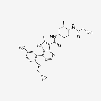 Cc1[nH]c2c(-c3cc(C(F)(F)F)ccc3OCC3CC3)ncnc2c1C(=O)N[C@H]1CC[C@@H](NC(=O)CO)[C@H](C)C1